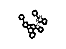 c1ccc(-c2ccc3c(c2)-c2cc4c(c5c2C3Cc2ccccc2-5)c2ccccc2n4-c2nc(-c3ccccc3)nc3ccccc23)cc1